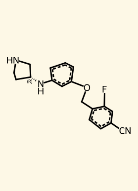 N#Cc1ccc(COc2cccc(N[C@@H]3CCNC3)c2)c(F)c1